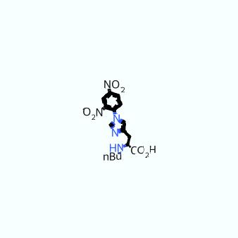 CCCCN[C@@H](Cc1cn(-c2ccc([N+](=O)[O-])cc2[N+](=O)[O-])cn1)C(=O)O